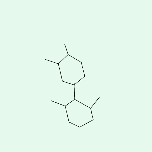 CC1CC[C](C2C(C)CCCC2C)CC1C